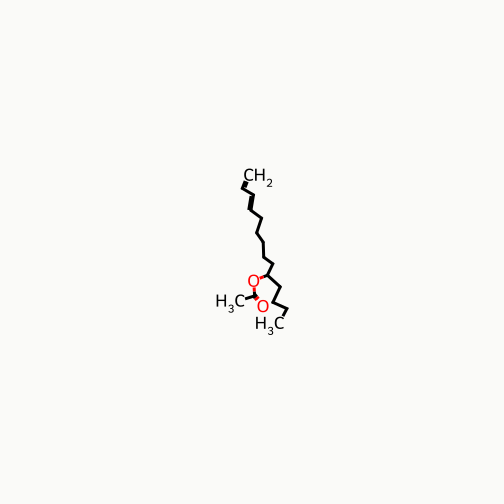 C=C/C=C/CCCCCC(CCCC)OC(C)=O